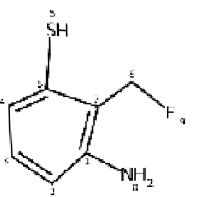 Nc1cccc(S)c1CF